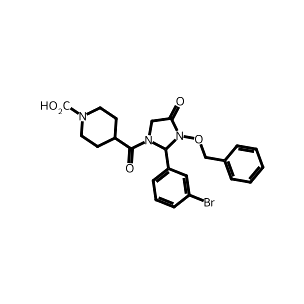 O=C(O)N1CCC(C(=O)N2CC(=O)N(OCc3ccccc3)C2c2cccc(Br)c2)CC1